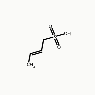 C/C=C/CS(=O)(=O)O